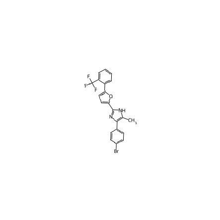 Cc1[nH]c(-c2ccc(-c3ccccc3C(F)(F)F)o2)nc1-c1ccc(Br)cc1